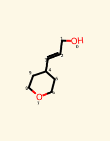 OCC=CC1CCOCC1